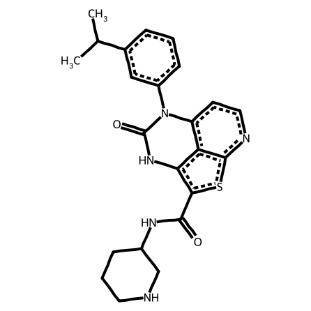 CC(C)c1cccc(N2C(=O)Nc3c(C(=O)NC4CCCNC4)sc4nccc2c34)c1